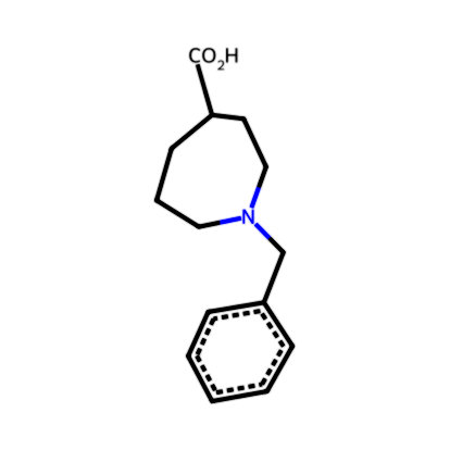 O=C(O)C1CCCN(Cc2ccccc2)CC1